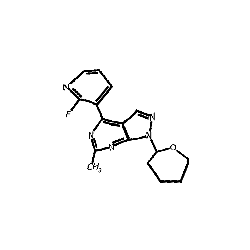 Cc1nc(-c2cccnc2F)c2cnn(C3CCCCO3)c2n1